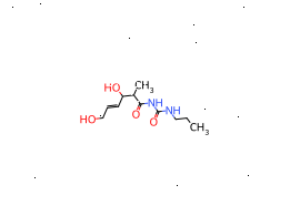 CCCNC(=O)NC(=O)C(C)C(O)/C=C/CO